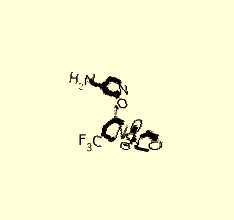 NCc1ccnc(OC[C@H]2C[C@@H](C(F)(F)F)CN(S(=O)(=O)N3CCOCC3)C2)c1